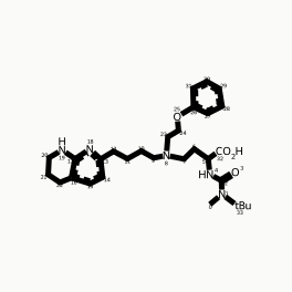 CN(C(=O)NC(CCN(CCCCc1ccc2c(n1)NCCC2)CCOc1ccccc1)C(=O)O)C(C)(C)C